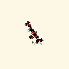 CC1(C)CCC(CN2CCN(c3ccc(C(=O)NS(=O)(=O)c4cnc(OCC5CCC(N(C6CC6)C6COC6)CC5)c(Cl)c4)c(On4ccc5cccnc54)c3)CC2)=C(c2ccc(Cl)cc2)C1